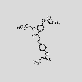 CC=C(CC)Oc1ccc(C=CC(=O)c2ccc(OC(=CC)CC)cc2OCC(=O)O)cc1